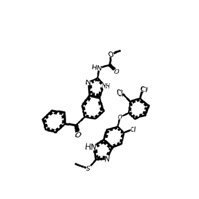 COC(=O)Nc1nc2cc(C(=O)c3ccccc3)ccc2[nH]1.CSc1nc2cc(Cl)c(Oc3cccc(Cl)c3Cl)cc2[nH]1